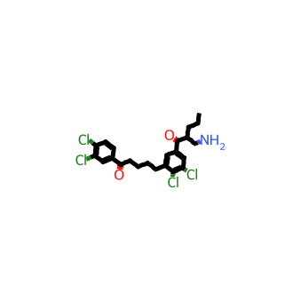 CCCC(CN)C(=O)c1cc(Cl)c(Cl)c(CCCCC(=O)c2ccc(Cl)c(Cl)c2)c1